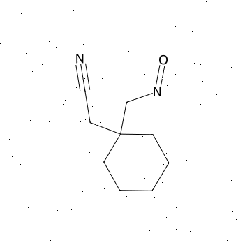 N#CCC1(CN=O)CCCCC1